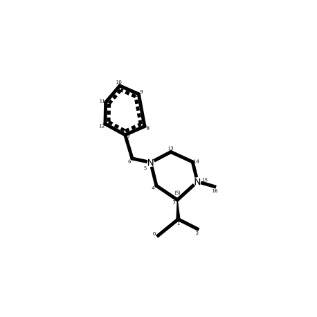 CC(C)[C@H]1CN(Cc2ccccc2)CCN1C